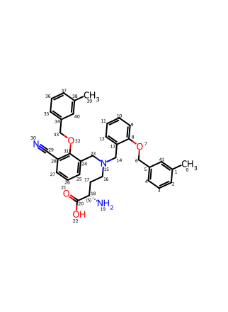 Cc1cccc(COc2ccccc2CN(CC[C@H](N)C(=O)O)Cc2cccc(C#N)c2OCc2cccc(C)c2)c1